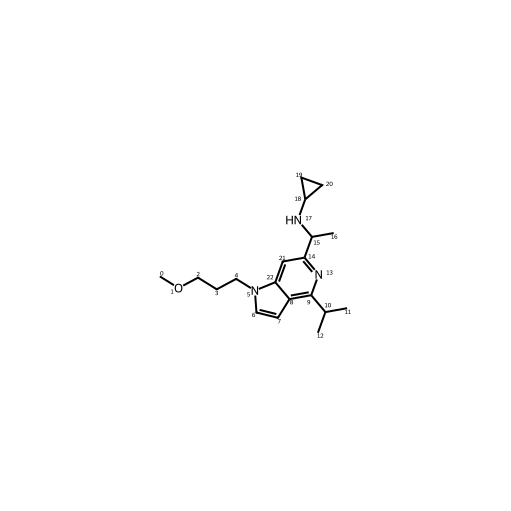 COCCCn1ccc2c(C(C)C)nc(C(C)NC3CC3)cc21